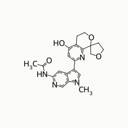 CC(=O)Nc1cc2c(-c3cc(O)c4c(n3)C3(CCOC3)OCC4)cn(C)c2cn1